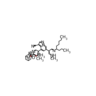 CCCCCC(CCC)/N=C/C(=C\NC)c1cc(-c2cnc(N3CC4CC(C3)N4C(=O)OC(C)(C)C)cn2)c2c(C#N)cnn2c1